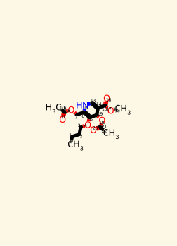 CCCCOC1=C(COC(C)=O)NC=C(C(=O)OC)C1OC(C)=O